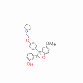 COc1ccc2c(c1)[C@H](c1ccc(OCCN3CCCC3)cc1)[C@H](c1cccc(O)c1)CO2